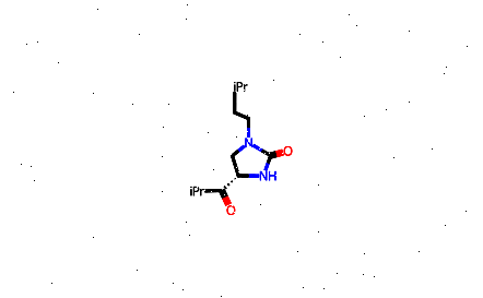 CC(C)CCN1C[C@@H](C(=O)C(C)C)NC1=O